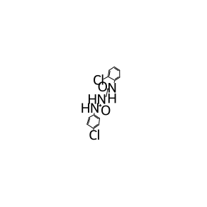 O=C(CNC(=O)Nc1ccc(Cl)cc1)Nc1ccccc1Cl